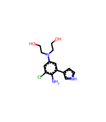 Nc1c(Cl)cc(N(CCO)CCO)cc1-c1cc[nH]c1